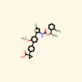 COc1cc(-c2sc(Cl)cc2NC(=O)O[C@H](C)c2ccccc2C)ccc1-c1ccc(C2(C(=O)O)CC2)cc1